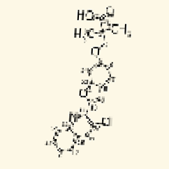 CC(C)(COc1ccc2cc(-c3nc4ccccc4cc3Cl)oc2c1)C(=O)O